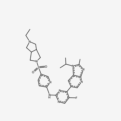 CCN1CC2CN(S(=O)(=O)c3ccc(Nc4ncc(F)c(-c5cnc6nc(C)n(C(C)C)c6c5)n4)nc3)CC2C1